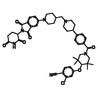 CC1(C)CN(C(=O)c2ccc(C3CCN(CC4CCN(c5ccc6c(c5)C(=O)N(C5CCC(=O)NC5=O)C6=O)CC4)CC3)cc2)CC(C)(C)C1Oc1ccc(C#N)c(Cl)c1